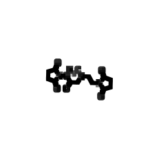 CN(CCN1C(=O)CCC1=O)CC(=O)ON1C(=O)CCC1=O